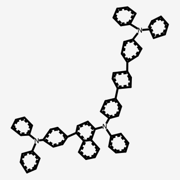 c1ccc(N(c2ccccc2)c2ccc(-c3ccc(-c4ccc(N(c5ccccc5)c5ccc(-c6ccc(N(c7ccccc7)c7ccccc7)cc6)c6ccccc56)cc4)cc3)cc2)cc1